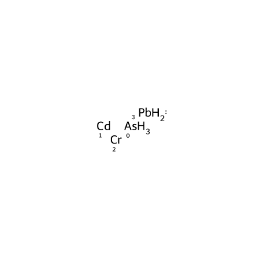 [AsH3].[Cd].[Cr].[PbH2]